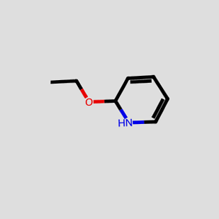 CCO[C]1C=CC=CN1